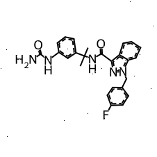 CC(C)(NC(=O)c1nn(Cc2ccc(F)cc2)c2ccccc12)c1cccc(NC(N)=O)c1